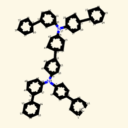 c1ccc(-c2ccc(N(c3ccc(-c4ccc(N(c5ccc(-c6ccccc6)cc5)c5cccc(-c6ccccc6)c5)cc4)cc3)c3cccc(-c4ccccc4)c3)cc2)cc1